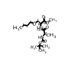 CCCCOC[C@H](NC(=O)[C@H](C)NC(=O)OC(C)(C)C)C(=O)OC